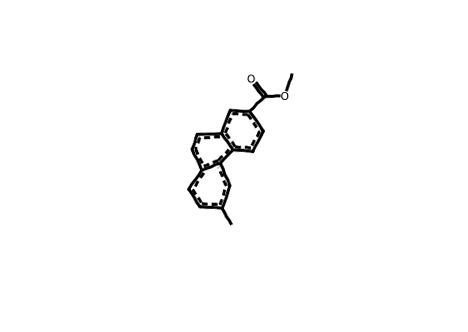 COC(=O)c1ccc2c(ccc3ccc(C)cc32)c1